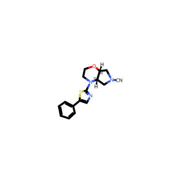 N#CN1C[C@H]2OCCN(c3ncc(-c4ccccc4)s3)[C@H]2C1